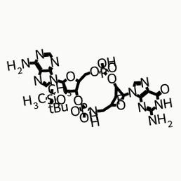 CC(C)(C)[Si](C)(C)OC1C2OP(=O)(O)NCC3OC(n4cnc5c(=O)[nH]c(N)nc54)C(OP(=O)(O)OCC2OC1n1cnc2c(N)ncnc21)C3F